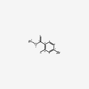 C=C(OC(C)C)c1ccc(Br)cc1C